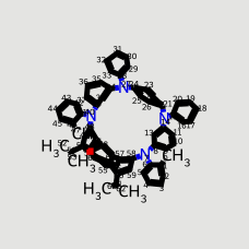 Cc1ccccc1N1c2cccc(c2)N(c2ccccc2)c2ccc(cc2)N(c2ccccc2)c2cccc(c2)N(c2ccccc2C)c2cc(C(C)C)c3ccc4c1cc(C(C)C)c1ccc2c3c14